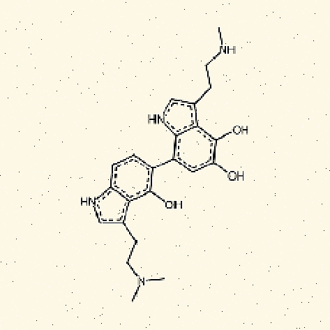 CNCCc1c[nH]c2c(-c3ccc4[nH]cc(CCN(C)C)c4c3O)cc(O)c(O)c12